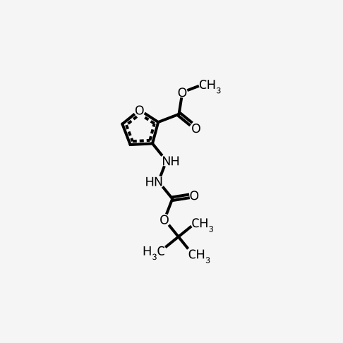 COC(=O)c1occc1NNC(=O)OC(C)(C)C